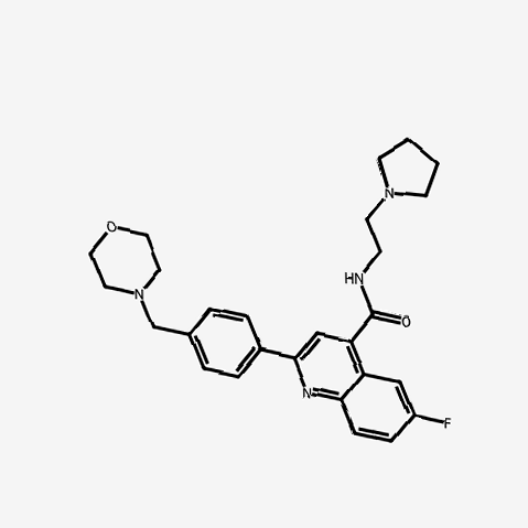 O=C(NCCN1CCCC1)c1cc(-c2ccc(CN3CCOCC3)cc2)nc2ccc(F)cc12